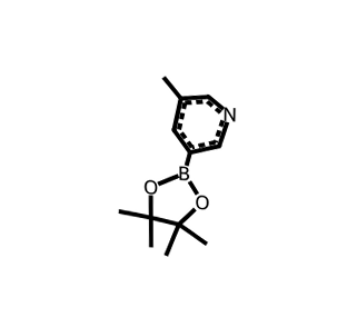 Cc1cncc(B2OC(C)(C)C(C)(C)O2)c1